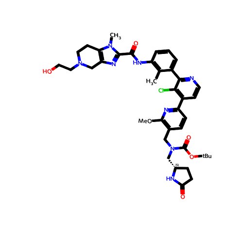 COc1nc(-c2ccnc(-c3cccc(NC(=O)c4nc5c(n4C)CCN(CCO)C5)c3C)c2Cl)ccc1CN(C[C@@H]1CCC(=O)N1)C(=O)OC(C)(C)C